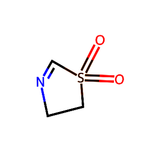 O=S1(=O)C=NCC1